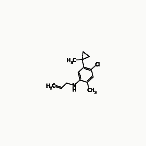 C=CCNc1cc(C2(C)CC2)c(Cl)cc1C